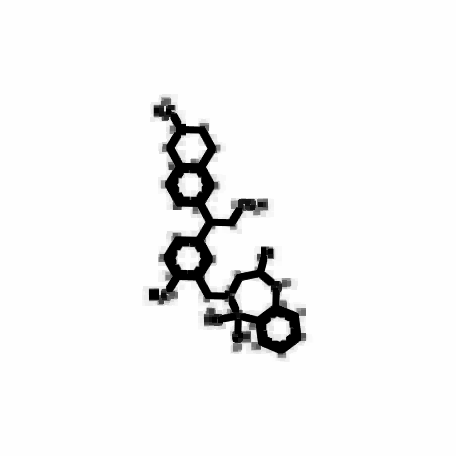 CCC1CN(Cc2cc(C(CC(=O)O)c3ccc4c(c3)CCN(C)C4)ccc2C)S(O)(O)c2ccccc2O1